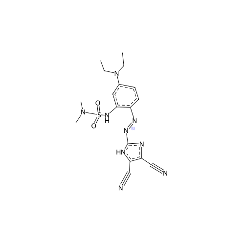 CCN(CC)c1ccc(/N=N/c2nc(C#N)c(C#N)[nH]2)c(NS(=O)(=O)N(C)C)c1